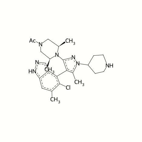 CC(=O)N1C[C@@H](C)N(c2nn(C3CCNCC3)c(C)c2-c2c(Cl)c(C)cc3[nH]ncc23)[C@@H](C)C1